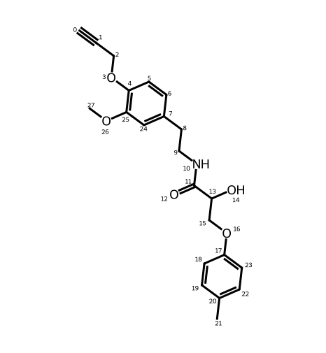 C#CCOc1ccc(CCNC(=O)C(O)COc2ccc(C)cc2)cc1OC